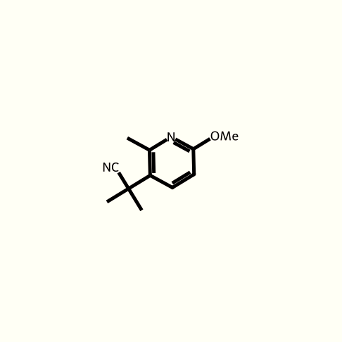 COc1ccc(C(C)(C)C#N)c(C)n1